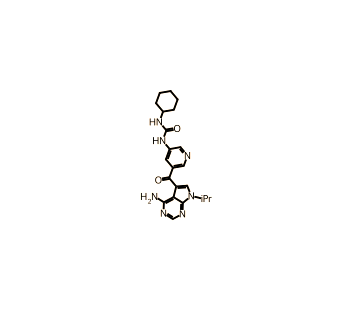 CC(C)n1cc(C(=O)c2cncc(NC(=O)NC3CCCCC3)c2)c2c(N)ncnc21